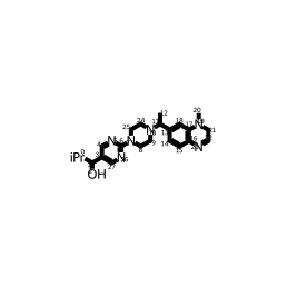 CC(C)C(O)c1cnc(N2CCN(C(C)c3ccc4c(c3)N(C)CC=N4)CC2)nc1